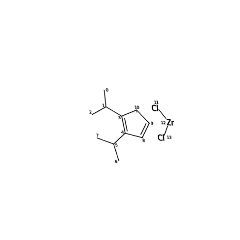 CC(C)C1=C(C(C)C)C=C[CH]1.[Cl][Zr][Cl]